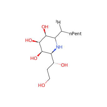 [2H]C(CCCCC)C1N[C@@H]([C@H](O)CCO)[C@@H](O)[C@@H](O)[C@H]1O